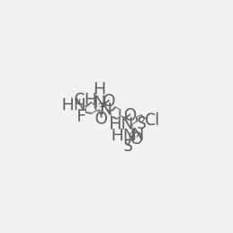 CNc1cc2[nH]c(=O)n(-c3ccc(C(=O)NC(c4noc(=S)[nH]4)c4ccc(Cl)s4)cc3)c(=O)c2cc1F